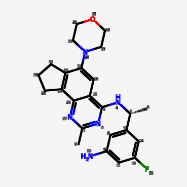 Cc1nc(N[C@H](C)c2cc(N)cc(F)c2)c2cc(N3CCOCC3)c3c(c2n1)CCC3